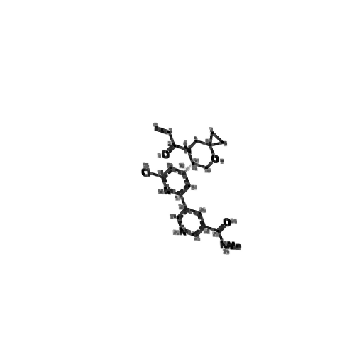 C=CC(=O)N1CC2(CC2)OC[C@@H]1c1cc(Cl)nc(-c2cncc(C(=O)NC)c2)c1